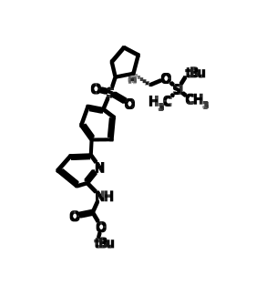 CC(C)(C)OC(=O)Nc1cccc(-c2ccc(S(=O)(=O)C3CCC[C@@H]3CO[Si](C)(C)C(C)(C)C)cc2)n1